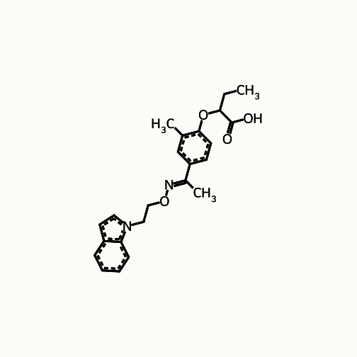 CCC(Oc1ccc(/C(C)=N/OCCn2ccc3ccccc32)cc1C)C(=O)O